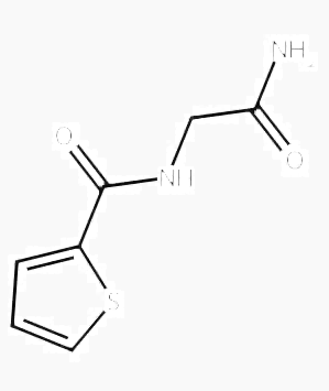 NC(=O)CNC(=O)c1cccs1